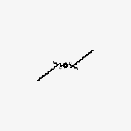 CCCCCCCCCCCCCCC(CCC)OC(=O)c1ccc(C(=O)OC(CCC)CCCCCCCCCCCCCC)cc1